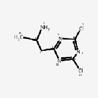 CC(N)Cc1nc(Cl)nc(Cl)n1